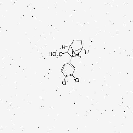 CN1[C@H]2CC[C@@H]1[C@H](C(=O)O)[C@@H](c1ccc(Cl)c(Cl)c1)C2